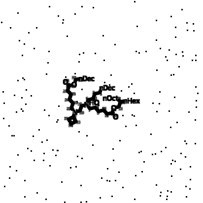 CCCCCCCCCCCCC(O)CN(CCCCCC(=O)OCC(CCCCCC)CCCCCCCC)CCN(CCCCCC(=O)OCCCCCCCCCCC)C1CCC1